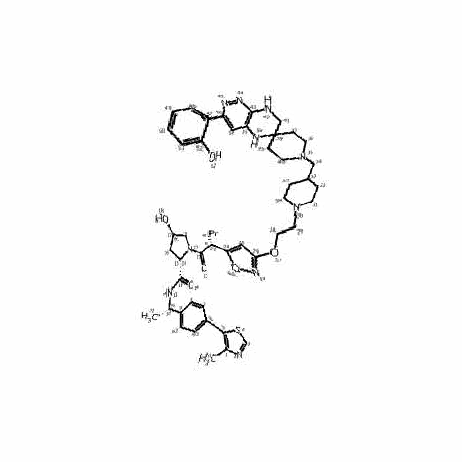 Cc1ncsc1-c1ccc([C@H](C)NC(=O)[C@@H]2C[C@@H](O)CN2C(=O)[C@@H](c2cc(OCCN3CCC(CN4CCC5(CC4)CNc4nnc(-c6ccccc6O)cc4N5)CC3)no2)C(C)C)cc1